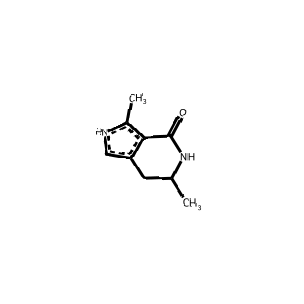 Cc1[nH]cc2c1C(=O)NC(C)C2